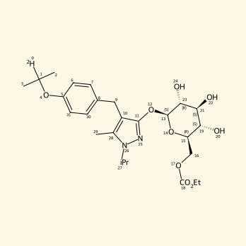 [2H]C(C)(C)Oc1ccc(Cc2c(O[C@@H]3O[C@H](COC(=O)OCC)[C@@H](O)[C@H](O)[C@H]3O)nn(C(C)C)c2C)cc1